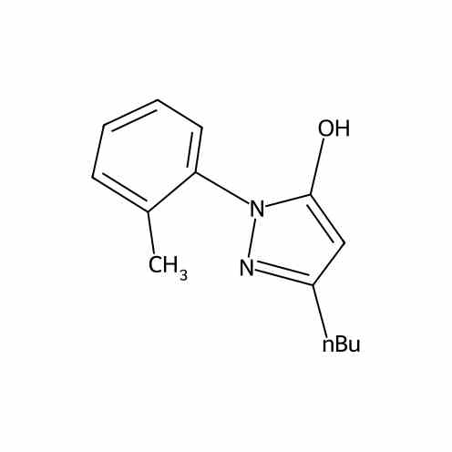 CCCCc1cc(O)n(-c2ccccc2C)n1